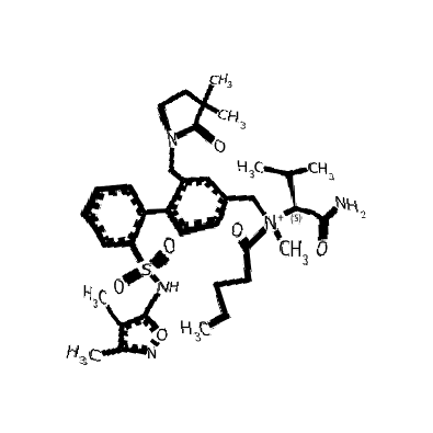 CCCCC(=O)[N+](C)(Cc1ccc(-c2ccccc2S(=O)(=O)Nc2onc(C)c2C)c(CN2CCC(C)(C)C2=O)c1)[C@H](C(N)=O)C(C)C